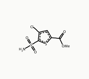 COC(=O)c1cc(Cl)c(S(N)(=O)=O)s1